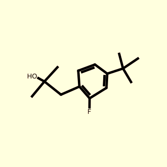 CC(C)(O)Cc1ccc(C(C)(C)C)cc1F